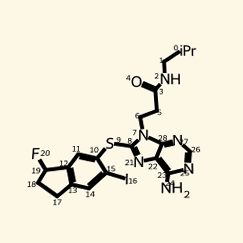 CC(C)CNC(=O)CCn1c(Sc2cc3c(cc2I)CCC3F)nc2c(N)ncnc21